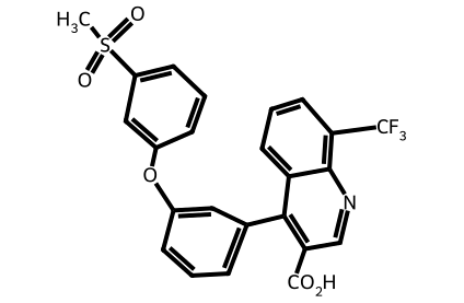 CS(=O)(=O)c1cccc(Oc2cccc(-c3c(C(=O)O)cnc4c(C(F)(F)F)cccc34)c2)c1